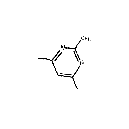 Cc1nc(I)cc(I)n1